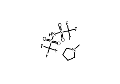 CN1CCCC1.O=S(=O)(NS(=O)(=O)C(F)(F)F)C(F)(F)F